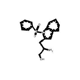 NC(CO)Cc1cc2ccccc2n1S(=O)(=O)c1ccccc1